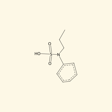 CCCN(c1ccccc1)S(=O)(=O)O